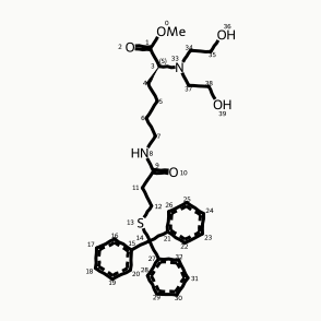 COC(=O)[C@H](CCCCNC(=O)CCSC(c1ccccc1)(c1ccccc1)c1ccccc1)N(CCO)CCO